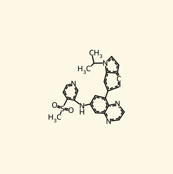 CC(C)n1ccc2ccc(-c3cc(Nc4cnccc4S(C)(=O)=O)cc4nccnc34)cc21